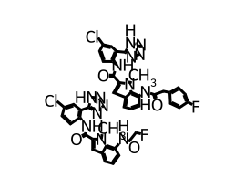 Cn1c(C(=O)Nc2ccc(Cl)cc2-c2nnn[nH]2)cc2cccc(NC(=O)CF)c21.Cn1c(C(=O)Nc2ccc(Cl)cc2-c2nnn[nH]2)cc2cccc(NC(=O)Cc3ccc(F)cc3)c21